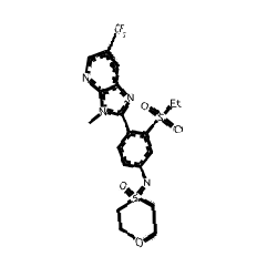 CCS(=O)(=O)c1cc(N=S2(=O)CCOCC2)ccc1-c1nc2cc(C(F)(F)F)cnc2n1C